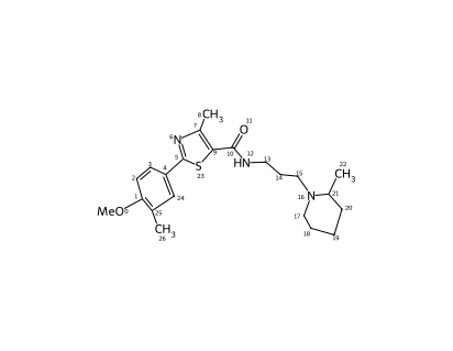 COc1ccc(-c2nc(C)c(C(=O)NCCCN3CCCCC3C)s2)cc1C